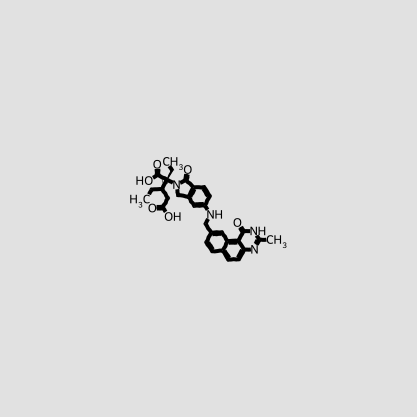 CCC(CC(=O)O)[C@](CC)(C(=O)O)N1Cc2cc(NCc3ccc4ccc5nc(C)[nH]c(=O)c5c4c3)ccc2C1=O